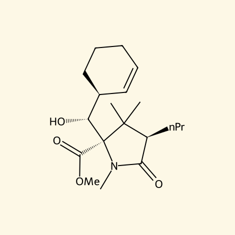 CCC[C@H]1C(=O)N(C)[C@@](C(=O)OC)([C@H](O)[C@@H]2C=CCCC2)C1(C)C